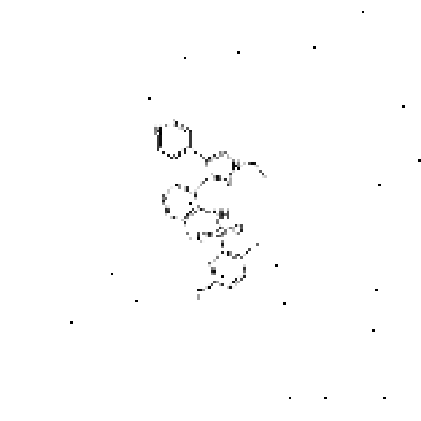 CCn1cc(-c2ccncc2)c(-c2cccc(F)c2NS(=O)(=O)c2cc(F)ccc2F)n1